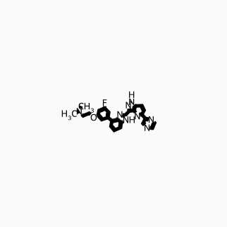 CN(C)CCOc1cc(F)cc(-c2cccc3[nH]c(-c4n[nH]c5ccc(-c6cnccn6)nc45)nc23)c1